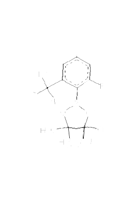 CC1(C)OB(c2c(F)cccc2C(F)(F)F)OC1(C)C